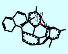 Cc1cc(C)c(-c2c3ccc(c2-c2c(C)cc(C)cc2C)C2=C(C=CC4=CC=CCC42)NB/N=C/C=C\3)c(C)c1